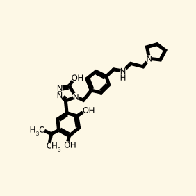 CC(C)c1cc(-c2nnc(O)n2Cc2ccc(CNCCN3CCCC3)cc2)c(O)cc1O